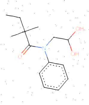 CCC(C)(C)C(=O)N(CC(O)O)c1ccccc1